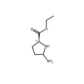 CCOC(=O)[C@@H]1CCC(N)N1